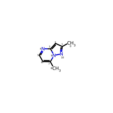 Cc1cc2nc[c]c(C)n2n1